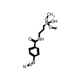 CO[Si](O)(CCCNC(=O)c1ccc(N=[N+]=[N-])cc1)OF